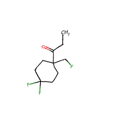 CCC(=O)C1(CF)CCC(F)(F)CC1